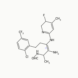 CC1=CC(N/C(CCc2cc(C(F)(F)F)ccc2Cl)=C(\N)C(C)NC=O)=NCC1F